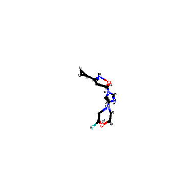 FC1CN(c2cn(-c3cc(C4CC4)no3)cn2)CCO1